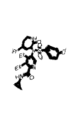 CCc1c(N(C2CC(C(C)C)CCNC2=O)S(=O)(=O)c2ccc(Cl)cc2)cnc(C(=O)NC2CC2)c1CC